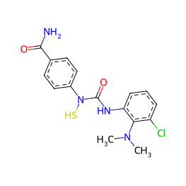 CN(C)c1c(Cl)cccc1NC(=O)N(S)c1ccc(C(N)=O)cc1